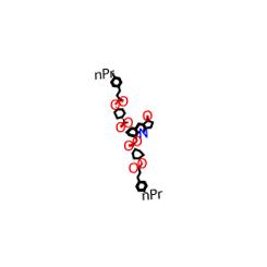 CCCc1ccc(CCC(=O)O[C@H]2CC[C@H](C(=O)Oc3ccc(OC(=O)[C@H]4CC[C@H](OC(=O)CCc5ccc(CCC)cc5)CC4)c4nc5c(cc34)C(=O)CC5)CC2)cc1